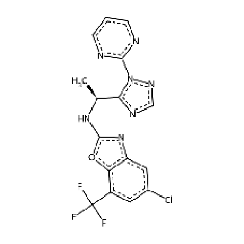 C[C@H](Nc1nc2cc(Cl)cc(C(F)(F)F)c2o1)c1ncnn1-c1ncccn1